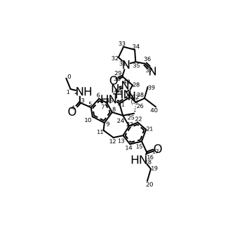 CCNC(=O)c1ccc2c(c1)CCc1cc(C(=O)NCC)ccc1C2(C[C@H](NCC(=O)N1CCCC1C#N)C(C)C)c1nnn[nH]1